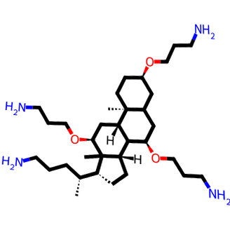 C[C@H](CCCN)[C@H]1CC[C@H]2C3[C@H](OCCCN)CC4C[C@H](OCCCN)CC[C@]4(C)[C@H]3C[C@H](OCCCN)C12C